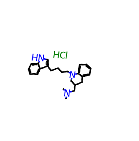 CN(C)CC1Cc2ccccc2N(CCCCc2c[nH]c3ccccc23)C1.Cl